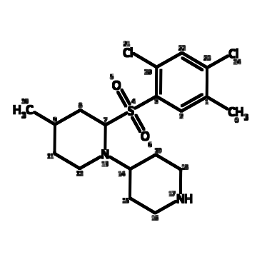 Cc1cc(S(=O)(=O)C2CC(C)CCN2C2CCNCC2)c(Cl)cc1Cl